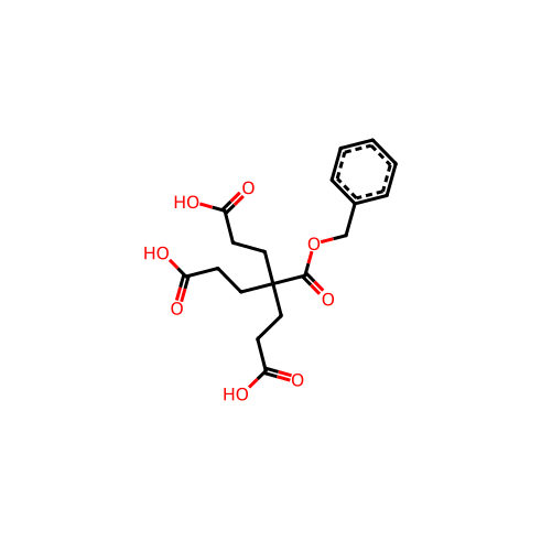 O=C(O)CCC(CCC(=O)O)(CCC(=O)O)C(=O)OCc1ccccc1